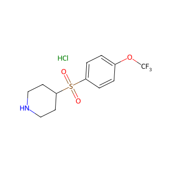 Cl.O=S(=O)(c1ccc(OC(F)(F)F)cc1)C1CCNCC1